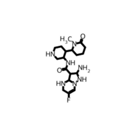 CN1C(=O)CCCC1C1CCNCC1NC(=O)C1C(N)NN2C=C(F)CNC12